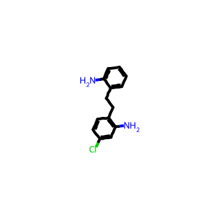 Nc1ccccc1CCc1ccc(Cl)cc1N